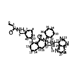 C=CC(=O)NCc1cccc(-c2cccc3cc([C@H](C)Nc4ncnc5scnc45)n(-c4ccccc4)c(=O)c23)c1